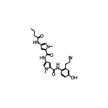 CCCC(=O)Nc1cc(C(=O)Nc2cc(C(=O)Nc3ccc(O)cc3CCBr)n(C)c2)n(C)c1